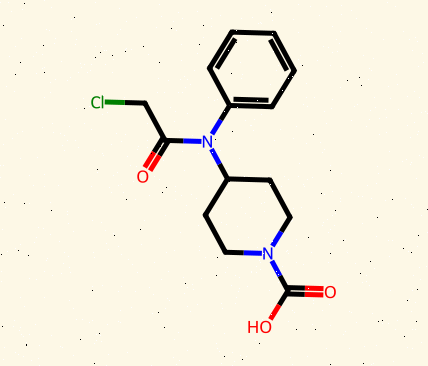 O=C(O)N1CCC(N(C(=O)CCl)c2ccccc2)CC1